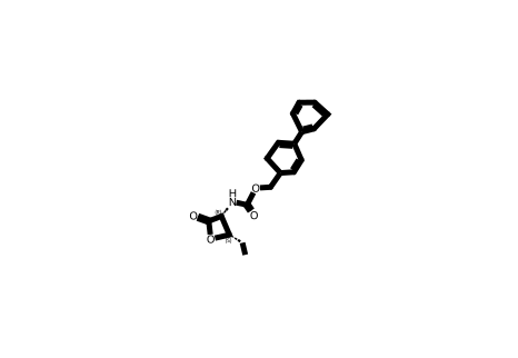 CC[C@@H]1OC(=O)[C@@H]1NC(=O)OCC1C=CC(c2ccccc2)=CC1